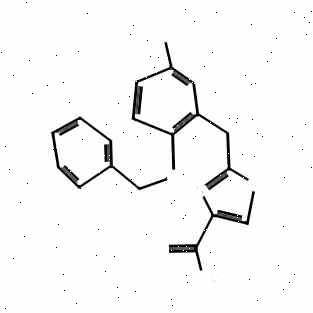 COC(=O)c1coc(Cc2cc(Cl)ccc2OCc2ccccc2)n1